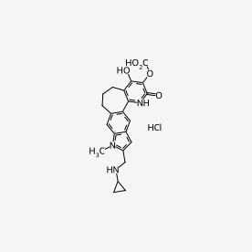 Cl.Cn1c(CNC2CC2)cc2cc3c(cc21)CCCc1c-3[nH]c(=O)c(OC(=O)O)c1O